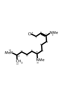 CNC(=CCCl)CCCC(CCCC(C)NC)NC